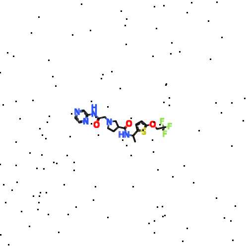 CC(NC(=O)C1CCN(CC(=O)Nc2cnccn2)C1)c1ccc(OCC(F)(F)F)s1